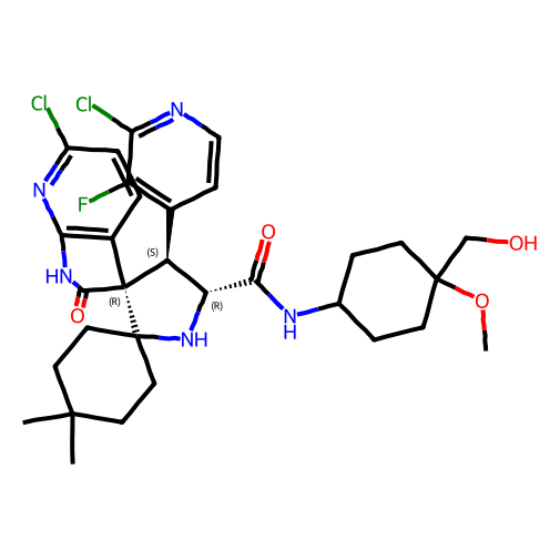 COC1(CO)CCC(NC(=O)[C@@H]2NC3(CCC(C)(C)CC3)[C@@]3(C(=O)Nc4nc(Cl)ccc43)[C@H]2c2ccnc(Cl)c2F)CC1